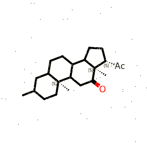 CC(=O)[C@H]1CCC2C3CCC4CC(C)CC[C@]4(C)C3CC(=O)[C@@]21C